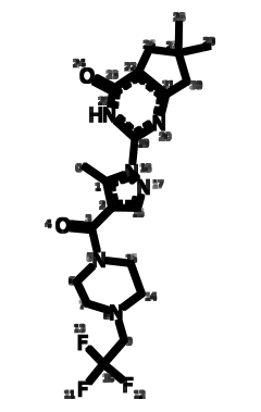 Cc1c(C(=O)N2CCN(CC(F)(F)F)CC2)cnn1-c1nc2c(c(=O)[nH]1)CC(C)(C)C2